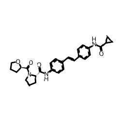 O=C(Nc1ccc(/C=C/c2ccc(NC(=O)[C@@H]3CCCN3C(=O)[C@H]3CCCO3)cc2)cc1)C1CC1